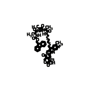 CC[C@@]1(O)C(=O)OCc2c1cc1n(c2=O)Cc2c-1nc1cc(F)c(C)cc1c2CSCCSCNC(=O)[C@@H](C)NC(=O)[C@@H](C)NC(=O)[C@@H](C)NC(=O)OCC1c2ccccc2C2C=CC=CC21